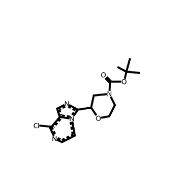 CC(C)(C)OC(=O)N1CCOC(c2ncc3c(Cl)nccn23)C1